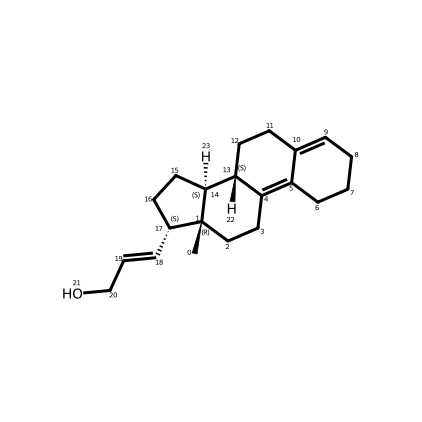 C[C@]12CCC3=C4CCCC=C4CC[C@H]3[C@@H]1CC[C@H]2C=CCO